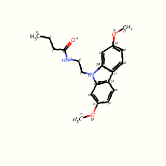 CCCC(=O)NCCn1c2cc(OC)ccc2c2ccc(OC)cc21